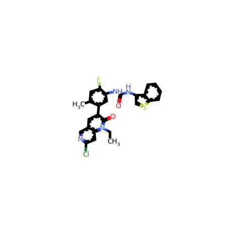 CCn1c(=O)c(-c2cc(NC(=O)Nc3csc4ccccc34)c(F)cc2C)cc2cnc(Cl)cc21